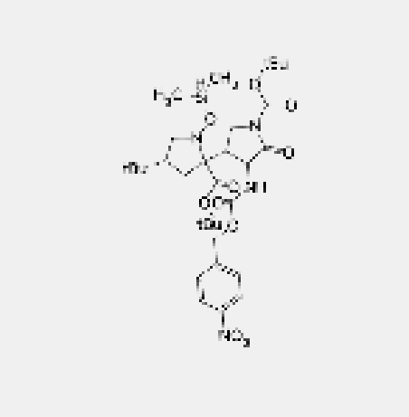 C[SiH](C)ON1CC(C(C)(C)C)CC1(C(=O)OC(C)(C)C)C1CN(C(=O)OC(C)(C)C)C(=O)C1NC(=O)OCc1ccc([N+](=O)[O-])cc1